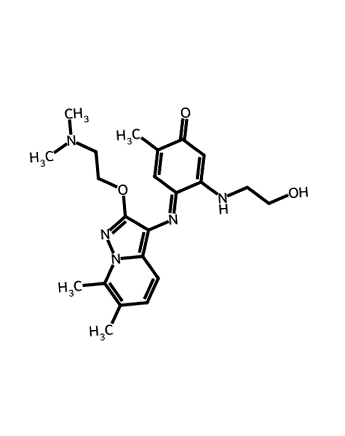 CC1=C/C(=N\c2c(OCCN(C)C)nn3c(C)c(C)ccc23)C(NCCO)=CC1=O